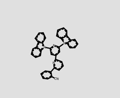 N#Cc1ccccc1-c1cccc(-c2cc(-n3c4ccccc4c4ccccc43)nc(-n3c4ccccc4c4ccccc43)c2)n1